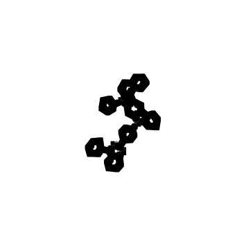 c1ccc(-c2nc(-c3ccc(-n4c5ccccc5c5cc6c7c8ccccc8ccc7n(-c7ccccc7)c6cc54)cc3)nc3ccccc23)cc1